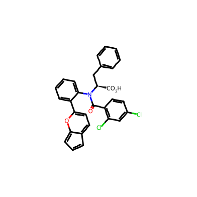 O=C(O)[C@H](Cc1ccccc1)N(C(=O)c1ccc(Cl)cc1Cl)c1ccccc1-c1ccc2cccc-2o1